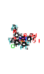 O=C(O)c1ccc(NC(=O)C(Cc2cc(OCC(F)(F)F)cc(OCC(F)(F)F)c2)N(Cc2ccc(Cl)cc2)S(=O)(=O)c2c(F)c(F)c(F)c(F)c2F)cc1O